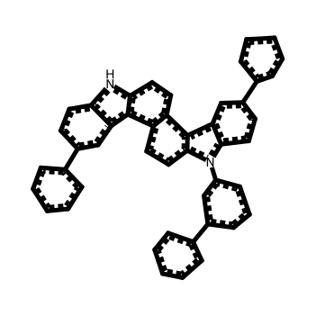 c1ccc(-c2cccc(-n3c4ccc(-c5ccccc5)cc4c4c5ccc6[nH]c7ccc(-c8ccccc8)cc7c6c5ccc43)c2)cc1